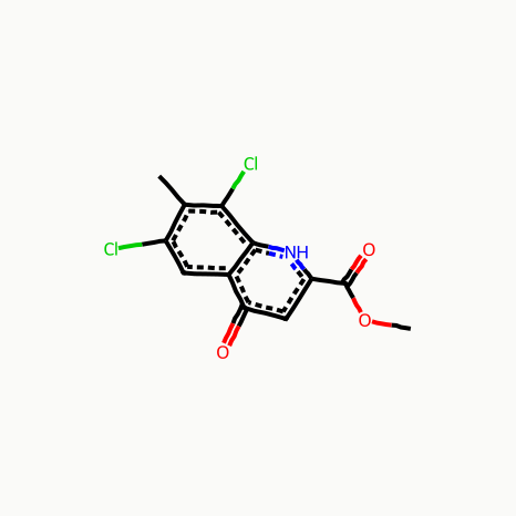 COC(=O)c1cc(=O)c2cc(Cl)c(C)c(Cl)c2[nH]1